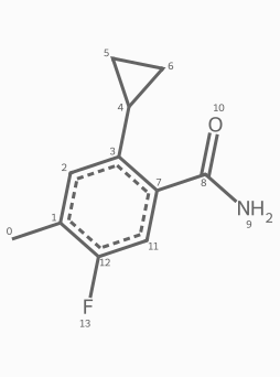 Cc1cc(C2CC2)c(C(N)=O)cc1F